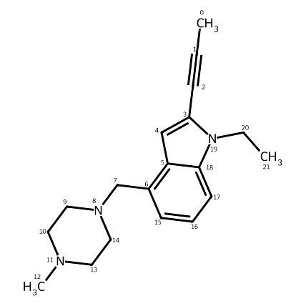 CC#Cc1cc2c(CN3CCN(C)CC3)cccc2n1CC